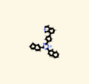 c1ccc2cc(C3=NC(c4ccc5ccccc5c4)NC(c4ccc(-c5cccc6ccncc56)cc4)=N3)ccc2c1